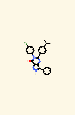 CC(C)c1ccc(-c2nc3c(-c4ccccc4)n(C)nc3c(=O)n2-c2ccc(Cl)cc2)cc1